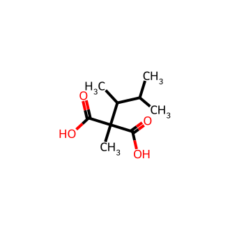 CC(C)C(C)C(C)(C(=O)O)C(=O)O